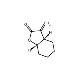 C=C1C(=O)O[C@H]2CCCC[C@@H]12